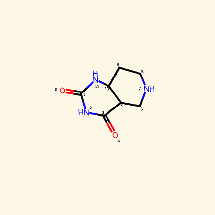 O=C1NC(=O)C2CNCCC2N1